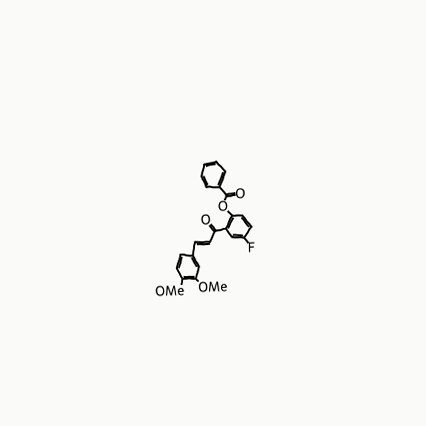 COc1ccc(C=CC(=O)c2cc(F)ccc2OC(=O)c2ccccc2)cc1OC